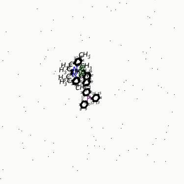 C1CCC(P(C2CCCCC2)C2CCCCC2)CC1.Cc1cc(C)c(-n2c(C)c(C)n(-c3c(C)cc(C)cc3C)[c]2=[Ru]([Cl])([Cl])=[CH]c2ccc3ccccc3c2)c(C)c1